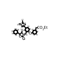 CCOC(=O)Cc1cccc(Oc2ccc(-c3cn(C)c(C)n3)cc2CN2C(=O)OC(c3ccccc3)C2C)c1